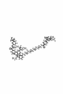 C=C(Nc1ccc(N(CC)CC)cc1-c1cc(C(=O)NCc2cccc(C(F)(F)F)c2)ccn1)c1cccc(CCCOCCOCCOCCOCCC(=O)N2CCN(C(=O)OC(C)(C)C)CC2)c1